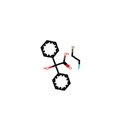 FCCBr.O=C(O)C(O)(c1ccccc1)c1ccccc1